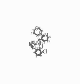 Clc1cccc(-n2nnnc2NCc2cccnc2N2CCCOCC2)c1Cl